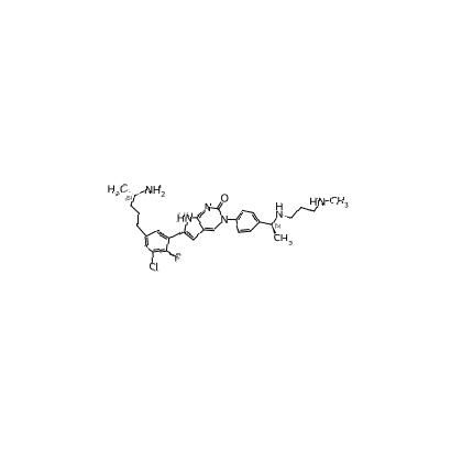 CNCCCN[C@@H](C)c1ccc(-n2cc3cc(-c4cc(CCC[C@H](C)N)cc(Cl)c4F)[nH]c3nc2=O)cc1